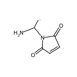 [CH2]C(N)N1C(=O)C=CC1=O